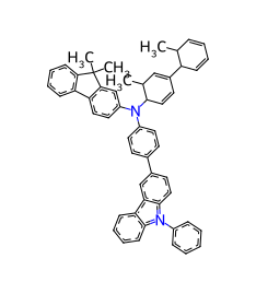 CC1C=CC=CC1C1=CC(C)C(N(c2ccc(-c3ccc4c(c3)c3ccccc3n4-c3ccccc3)cc2)c2ccc3c(c2)C(C)(C)c2ccccc2-3)C=C1